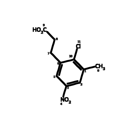 Cc1cc([N+](=O)[O-])cc(CCC(=O)O)c1Cl